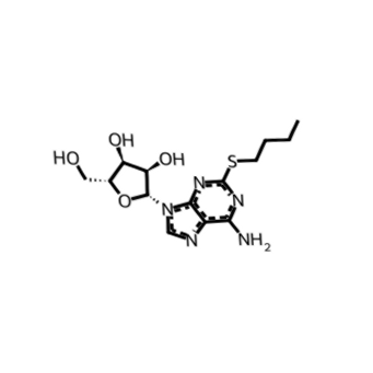 CCCCSc1nc(N)c2ncn([C@@H]3O[C@H](CO)[C@@H](O)[C@H]3O)c2n1